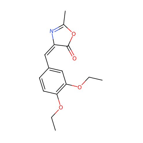 CCOc1ccc(C=C2N=C(C)OC2=O)cc1OCC